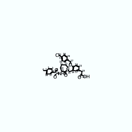 Cc1ccc(S(=O)(=O)N[C@H]2CCCCN(Cc3cc(CC(=O)O)ccc3OCc3ccc(Cl)cc3)C2=O)cc1